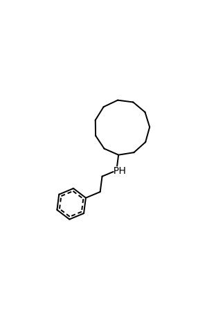 c1ccc(CCPC2CCCCCCCCCC2)cc1